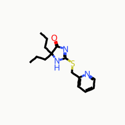 CCCC1(CCC)NC(SCc2ccccn2)=NC1=O